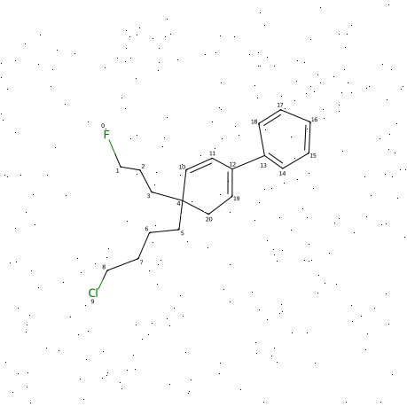 FCCCC1(CCCCCl)C=CC(c2ccccc2)=CC1